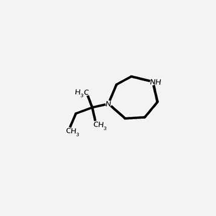 CCC(C)(C)N1CCCNCC1